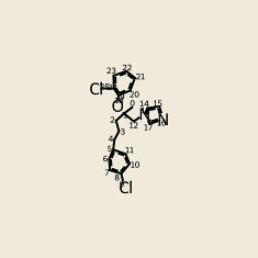 CC(CCCc1ccc(Cl)cc1)(Cn1ccnc1)Oc1ccccc1Cl